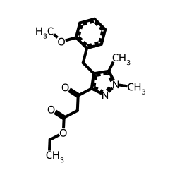 CCOC(=O)CC(=O)c1nn(C)c(C)c1Cc1ccccc1OC